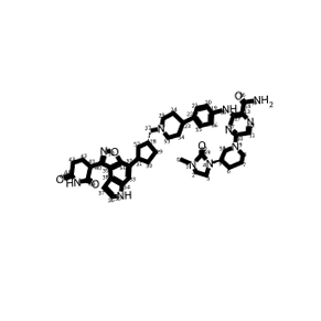 CN1CCN([C@@H]2CCCN(c3cnc(C(N)=O)c(Nc4ccc(C5CCN(C[C@@H]6CCC(c7cc8[nH]ccc8c8c(C9CCC(=O)NC9=O)noc78)C6)CC5)cc4)n3)C2)C1=O